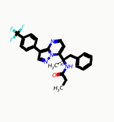 CCC(=O)N[C@](C)(Cc1ccccc1)c1ccnc2c(-c3ccc(C(F)(F)F)cc3)cnn12